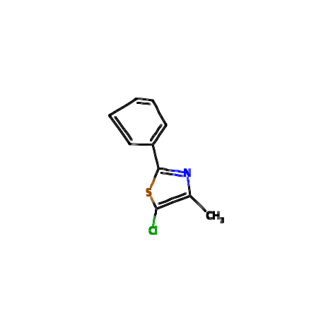 Cc1nc(-c2ccccc2)sc1Cl